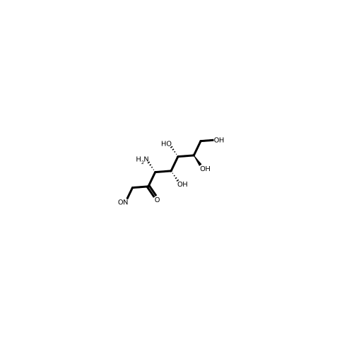 N[C@@H](C(=O)CN=O)[C@@H](O)[C@H](O)[C@H](O)CO